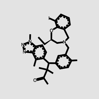 CC[C@@H]1CN(Cc2cc(C(c3ccc4c(nnn4C)c3C)C(C)(C)C(C)=O)ccc2C)Cc2cccc(I)c2O1